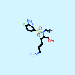 CC(C)CN(C(CO)CCCCN)S(=O)(=O)c1ccc(F)c(N)c1